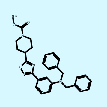 CC(C)(C)OC(=O)N1CCC(c2nc(-c3cccc(N(Cc4ccccc4)Cc4ccccc4)c3)no2)CC1